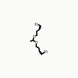 CC/C=C\CCOC(C)OCC/C=C\CC